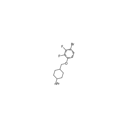 CCCC1CCC(COc2ccc(Br)c(F)c2F)CC1